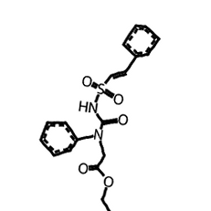 CCOC(=O)CN(C(=O)NS(=O)(=O)/C=C/c1ccccc1)c1ccccc1